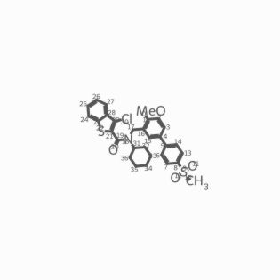 COc1ccc(-c2ccc(S(C)(=O)=O)cc2)cc1CN(C(=O)c1sc2ccccc2c1Cl)C1CCCCC1